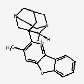 Cc1cc2oc3ccccc3c2cc1C12CC3CN(CN(C3)[C@@H]1C)C2